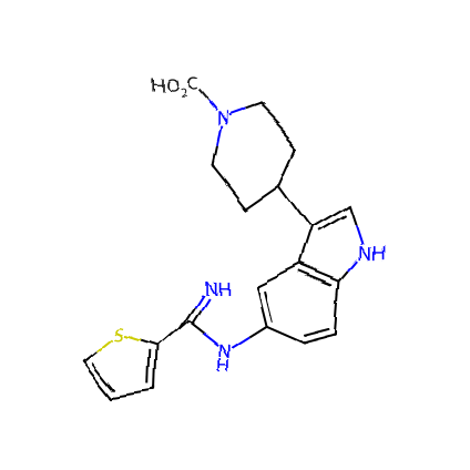 N=C(Nc1ccc2[nH]cc(C3CCN(C(=O)O)CC3)c2c1)c1cccs1